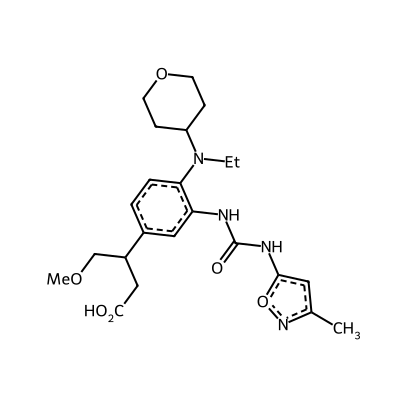 CCN(c1ccc(C(COC)CC(=O)O)cc1NC(=O)Nc1cc(C)no1)C1CCOCC1